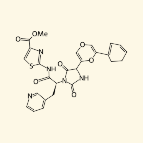 COC(=O)c1csc(NC(=O)[C@H](Cc2cccnc2)N2C(=O)NC(C3=COC=C(C4=CC=CCC4)O3)C2=O)n1